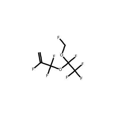 C=C(F)C(F)(F)OC(F)(OCF)C(F)(F)F